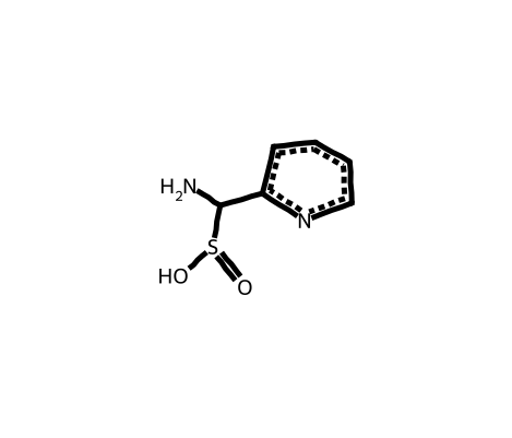 NC(c1ccccn1)S(=O)O